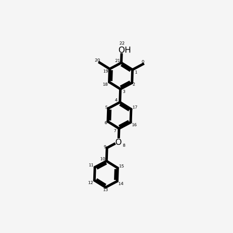 Cc1cc(-c2ccc(OCc3ccccc3)cc2)cc(C)c1O